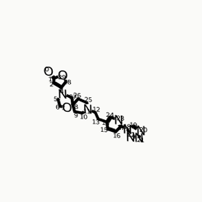 O=C1C=C(N2CCOC3(CCN(CCc4ccc(-n5cnnn5)nc4)CC3)C2)CO1